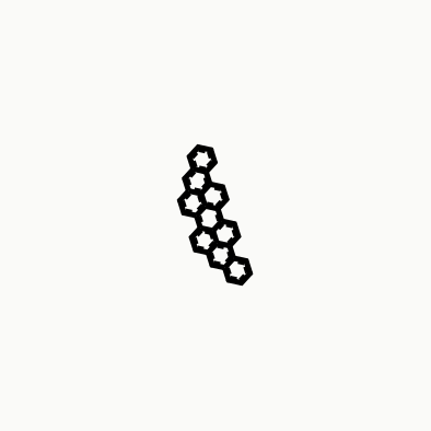 c1ccc2c(c1)cc1ccc3c4ccc5cc6ccccc6c6ccc(c7ccc2c1c37)c4c56